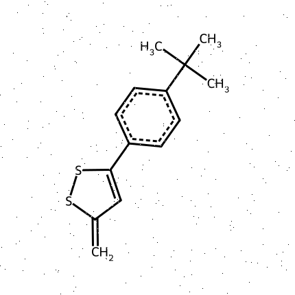 C=C1C=C(c2ccc(C(C)(C)C)cc2)SS1